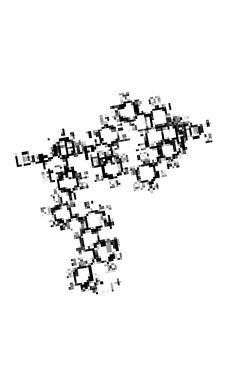 CC(C)(C)P(c1ccccc1-c1ccccc1)C(C)(C)C.CC(C)(C)P(c1ccccc1-c1ccccc1)C(C)(C)C.O=[N+]([O-])[O-].[Cu+].[Cu+].c1ccc(-c2ccnc3c2ccc2c(-c4ccccc4)ccnc23)cc1.c1ccc(-c2ccnc3c2ccc2c(-c4ccccc4)ccnc23)cc1